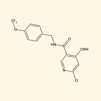 COc1cc(Cl)ncc1C(=O)NCc1ccc(OC(F)(F)F)cc1